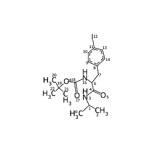 CC(C)NC(=O)C(Cc1ccc(I)cc1)NC(=O)OC(C)(C)C